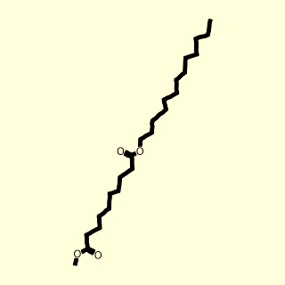 CCCCCCCCCCCCCOC(=O)CCCCCCCCC(=O)OC